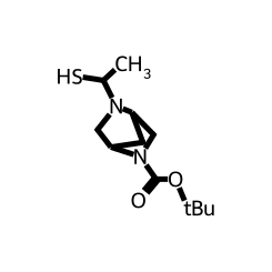 CC(S)N1CC2CC1CN2C(=O)OC(C)(C)C